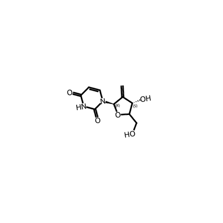 C=C1[C@H](n2ccc(=O)[nH]c2=O)OC(CO)[C@H]1O